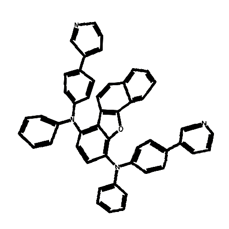 c1ccc(N(c2ccc(-c3cccnc3)cc2)c2ccc(N(c3ccccc3)c3ccc(-c4cccnc4)cc3)c3c2oc2c4ccccc4ccc23)cc1